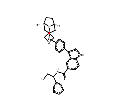 CC(C)CC(NC(=O)c1ccc2[nH]nc(-c3ccc(OC4C[C@H]5CC[C@@H](C4)N5C4COC4)cc3)c2c1)c1ccccc1